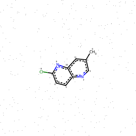 Cc1cnc2ccc(Cl)nc2c1